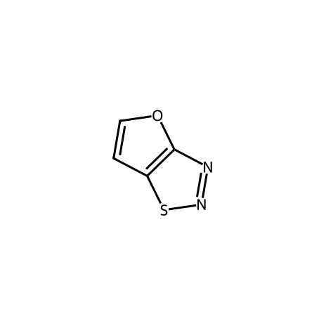 c1cc2snnc2o1